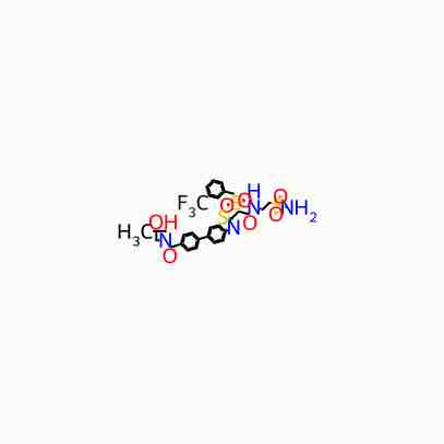 CC1(O)CN(C(=O)c2ccc(-c3ccc4nc(C(C(=O)NCCS(N)(=O)=O)S(=O)(=O)Cc5cccc(C(F)(F)F)c5)sc4c3)cc2)C1